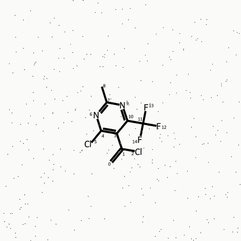 C=C(Cl)c1c(Cl)nc(C)nc1C(F)(F)F